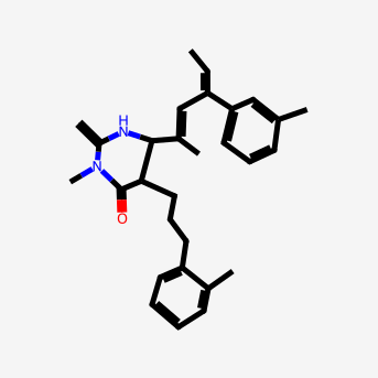 C=C1NC(/C(C)=C/C(=C\C)c2cccc(C)c2)C(CCCc2ccccc2C)C(=O)N1C